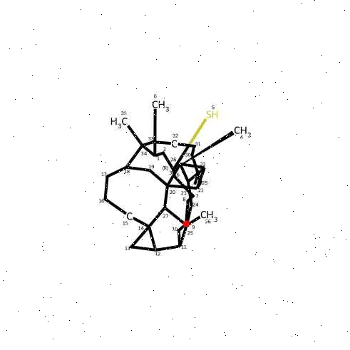 CC1C[C@](C)(S)CCCCCC2C3CC34CCCC3CC56C(=C7C(CC2(C)C45)C76)CCCCCC13C